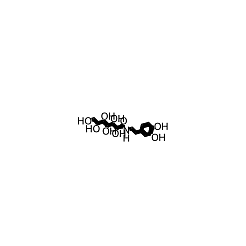 O=C(NCCc1ccc(O)c(O)c1)C(O)C(O)/C(O)=C(\O)C(O)CO